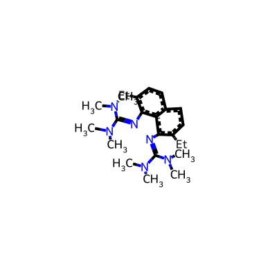 CCc1ccc2ccc(CC)c(N=C(N(C)C)N(C)C)c2c1N=C(N(C)C)N(C)C